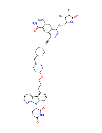 CC[C@H]1C(COc2ncc(C#C[C@H]3CC[C@H](CN4CCC(OCCCc5cccc6c5c5cccnc5n6C5CCC(=O)NC5=O)CC4)CC3)c3cc(C(N)=O)c(OC)cc23)NC(=O)[C@H]1F